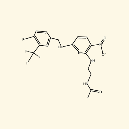 CC(=O)NCCNc1nc(NCc2ccc(F)c(C(F)(F)F)c2)ccc1[N+](=O)[O-]